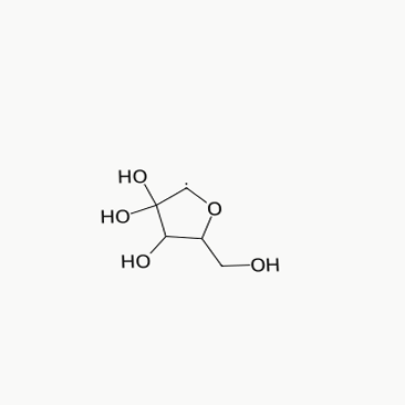 OCC1O[CH]C(O)(O)C1O